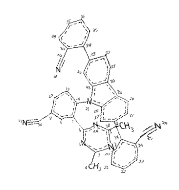 Cc1nc(C)nc(-c2cc(C#N)ccc2-n2c3cc(-c4ccccc4C#N)ccc3c3ccc(-c4ccccc4C#N)cc32)n1